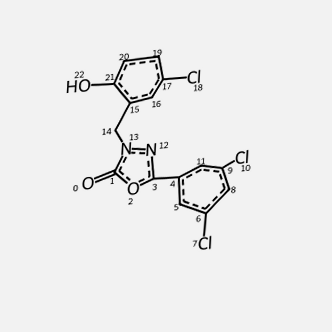 O=c1oc(-c2cc(Cl)cc(Cl)c2)nn1Cc1cc(Cl)ccc1O